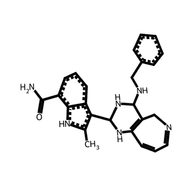 Cc1[nH]c2c(C(N)=O)cccc2c1C1NC2=C(CN=CC=C2)C(NCc2ccccc2)N1